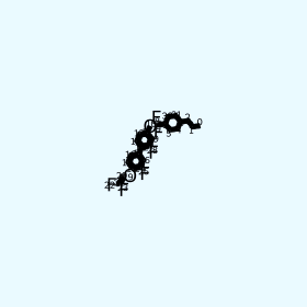 CCCC1CCC(C(F)(F)Oc2ccc(-c3ccc(OC=C(F)F)c(F)c3)c(F)c2)CC1